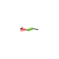 C=C(CO)C(=O)OCCOCCCC(F)(F)C(F)(F)C(F)(F)C(F)(F)C(F)(F)C(F)(F)CCCCCCC